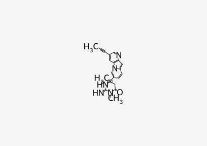 CC#Cc1cnc2cc3ccc([C@]4(C)CC(=O)N(C)C(=N)N4)cn3c2c1